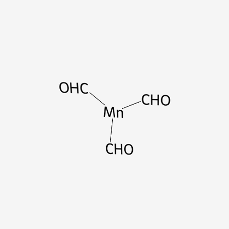 O=[CH][Mn]([CH]=O)[CH]=O